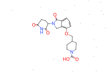 O=C1CCC(N2Cc3c(OCC4CCN(C(=O)O)CC4)cccc3C2=O)C(=O)N1